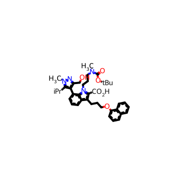 CC(C)c1c(-c2cccc3c(CCCOc4cccc5ccccc45)c(C(=O)O)n(CCCN(C)C(=O)OC(C)(C)C)c23)c(CO)nn1C